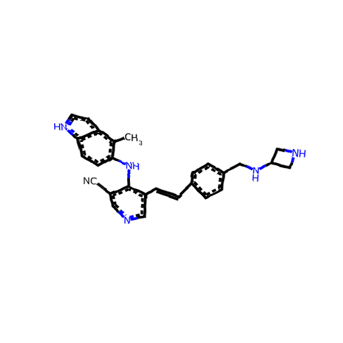 Cc1c(Nc2c(C#N)cncc2C=Cc2ccc(CNC3CNC3)cc2)ccc2[nH]ccc12